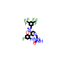 Cc1cc(F)ccc1[C@@H]1CN(Cc2n[nH]c(=O)[nH]2)CC[C@H]1C(=O)N(C)Cc1cc(C(F)(F)F)cc(C(F)(F)F)c1